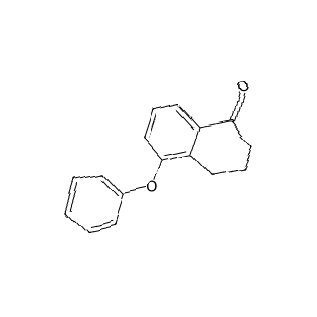 O=C1CCCc2c(Oc3ccccc3)cccc21